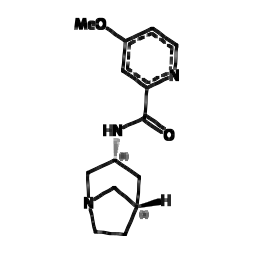 COc1ccnc(C(=O)N[C@@H]2C[C@@H]3CCN(C3)C2)c1